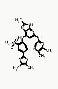 Cc1nc2c(Nc3ccc(-c4nc(C)c(C)s4)cc3S(C)(=O)=O)cc(Nc3cnc(C)c(C)n3)nc2[nH]1